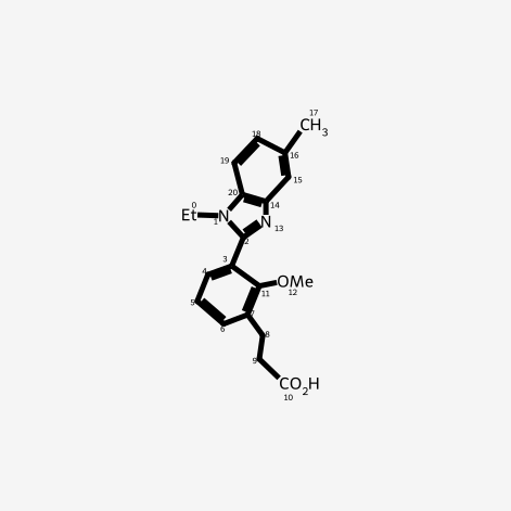 CCn1c(-c2cccc(CCC(=O)O)c2OC)nc2cc(C)ccc21